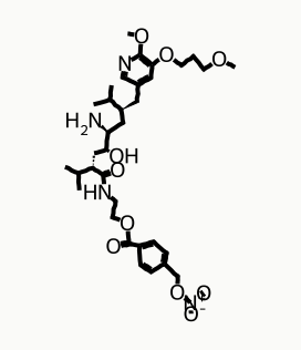 COCCCOc1cc(C[C@@H](C[C@H](N)[C@@H](O)C[C@H](C(=O)NCCOC(=O)c2ccc(CO[N+](=O)[O-])cc2)C(C)C)C(C)C)cnc1OC